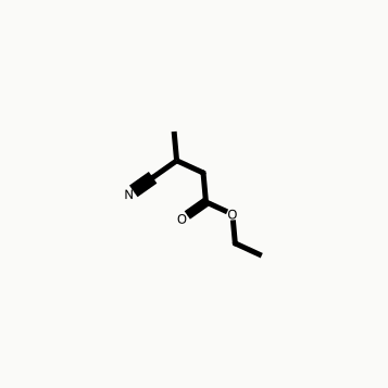 CCOC(=O)CC(C)C#N